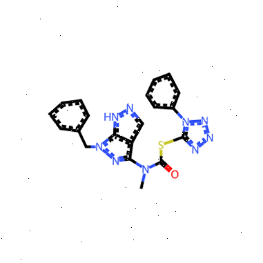 CN(C(=O)Sc1nnnn1-c1ccccc1)c1nn(Cc2ccccc2)c2[nH]ncc12